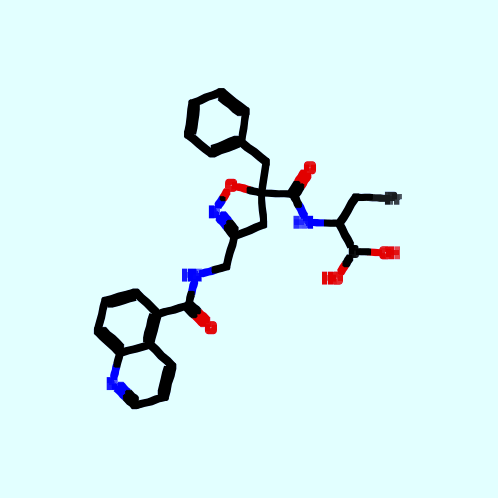 CC(C)CC(NC(=O)C1(Cc2ccccc2)CC(CNC(=O)c2cccc3ncccc23)=NO1)B(O)O